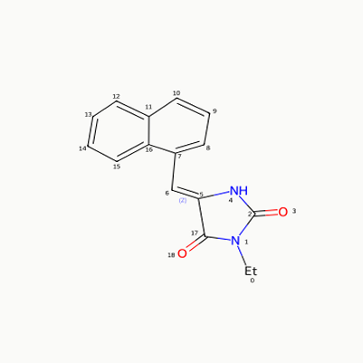 CCN1C(=O)N/C(=C\c2cccc3ccccc23)C1=O